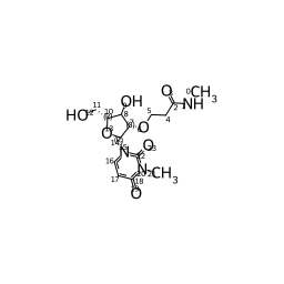 CNC(=O)CCO[C@H]1C(O)[C@@H](CO)O[C@H]1n1ccc(=O)n(C)c1=O